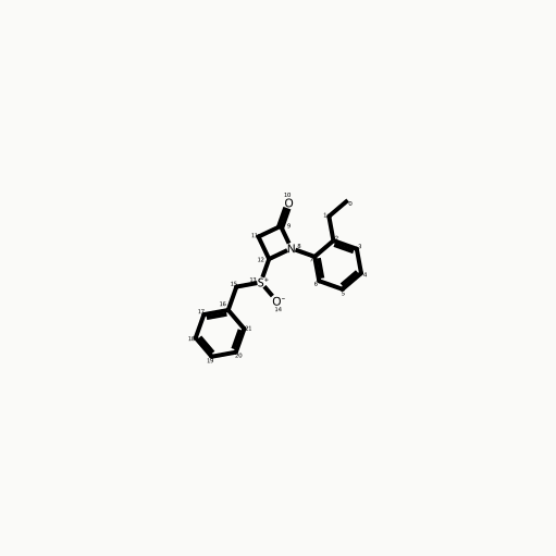 CCc1ccccc1N1C(=O)CC1[S+]([O-])Cc1ccccc1